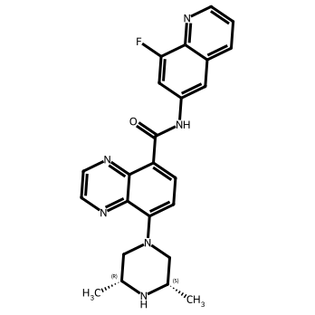 C[C@@H]1CN(c2ccc(C(=O)Nc3cc(F)c4ncccc4c3)c3nccnc23)C[C@H](C)N1